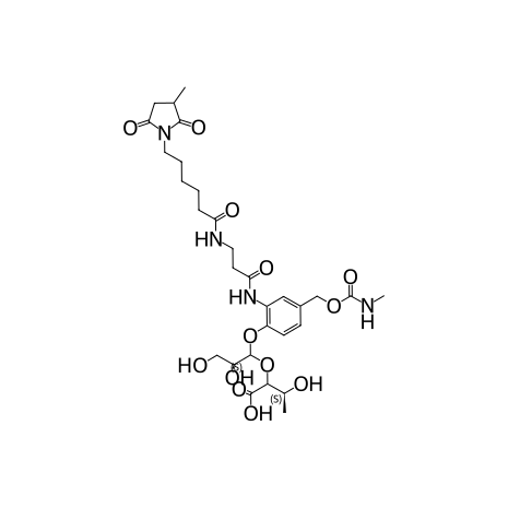 CNC(=O)OCc1ccc(OC(OC(C(=O)O)[C@H](C)O)[C@@H](O)CO)c(NC(=O)CCNC(=O)CCCCCN2C(=O)CC(C)C2=O)c1